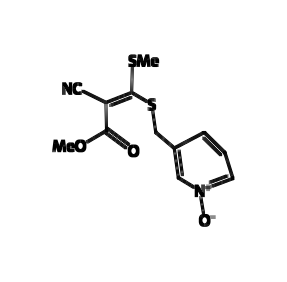 COC(=O)C(C#N)=C(SC)SCc1ccc[n+]([O-])c1